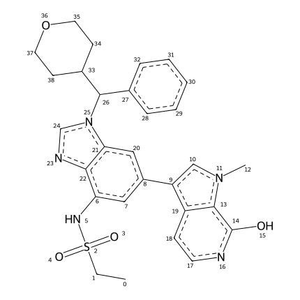 CCS(=O)(=O)Nc1cc(-c2cn(C)c3c(O)nccc23)cc2c1ncn2C(c1ccccc1)C1CCOCC1